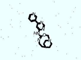 c1cncc(-c2cc(N/C3=N/CCC4CCN(CC4)CO3)ncn2)c1